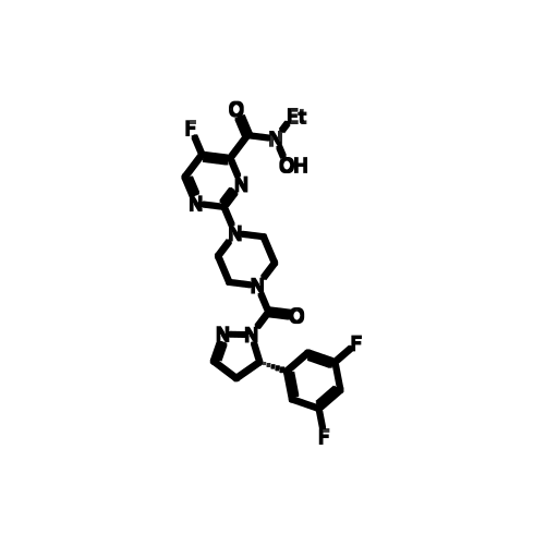 CCN(O)C(=O)c1nc(N2CCN(C(=O)N3N=CC[C@H]3c3cc(F)cc(F)c3)CC2)ncc1F